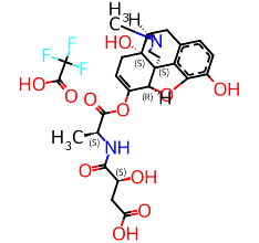 C[C@H](NC(=O)[C@@H](O)CC(=O)O)C(=O)OC1=CC[C@@]2(O)[C@H]3Cc4ccc(O)c5c4[C@@]2(CCN3C)[C@H]1O5.O=C(O)C(F)(F)F